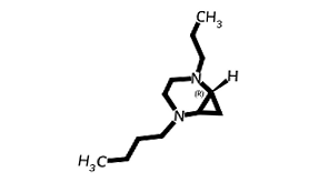 CCCCN1CCN(CCC)[C@@H]2CC21